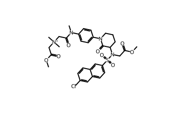 COC(=O)CN(C1CCCN(c2ccc(N(C)C(=O)C[N+](C)(C)CC(=O)OC)cc2)C1=O)S(=O)(=O)c1ccc2cc(Cl)ccc2c1